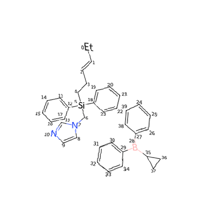 CCC=CCC[Si](Cn1ccnc1)(c1ccccc1)c1ccccc1.c1ccc(B(c2ccccc2)C2CC2)cc1